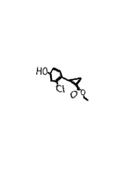 CCOC(=O)C1CC1c1ccc(O)cc1Cl